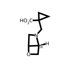 O=C(O)C1(CN2CC3OC[C@H]32)CC1